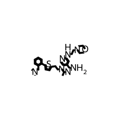 CC1N=C(N)c2cc(NCCN3CCOCC3)ncc2N1CCc1ccc(-c2ccccc2CN(C)C)s1